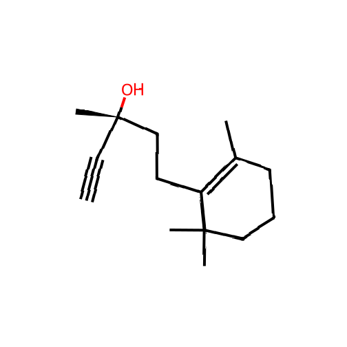 C#C[C@](C)(O)CCC1=C(C)CCCC1(C)C